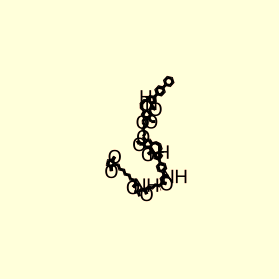 COc1cc2c(cc1OCCCOc1cc3c(cc1OC)C(=O)N1C=C(c4ccc(C5CCCCC5)cc4)C[C@H]1C=C=C3)C=C=C[C@@H]1CC(c3ccc(C(=N)CC(=O)[C@H](C)CCCC(=O)[C@@H](NC(=O)CCCCCCCC4C(=O)C=CC4=O)C(C)C)cc3)=CN1C2=O